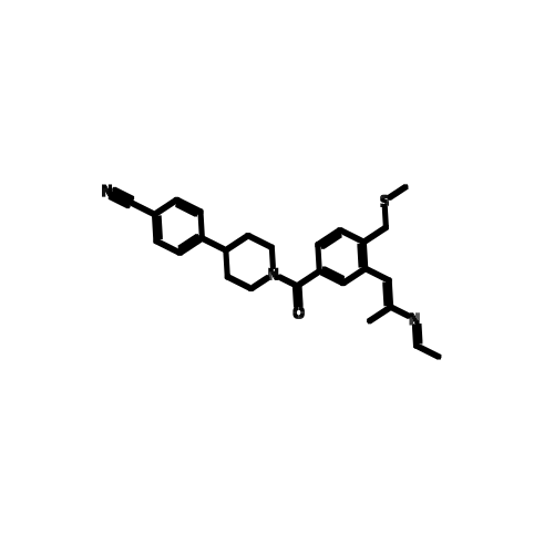 C/C=N/C(C)=C/c1cc(C(=O)N2CCC(c3ccc(C#N)cc3)CC2)ccc1CSC